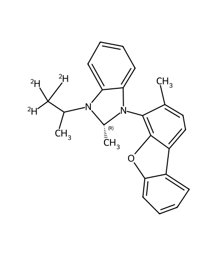 [2H]C([2H])([2H])C(C)N1c2ccccc2N(c2c(C)ccc3c2oc2ccccc23)[C@@H]1C